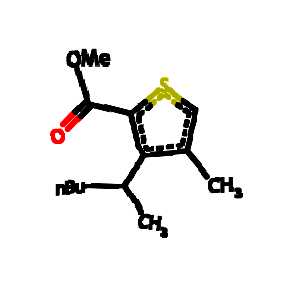 CCCCC(C)c1c(C)csc1C(=O)OC